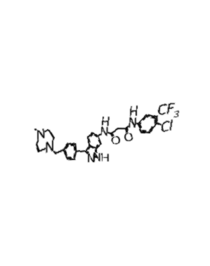 CN1CCN(Cc2ccc(-c3n[nH]c4cc(NC(=O)CC(=O)Nc5ccc(Cl)c(C(F)(F)F)c5)ccc34)cc2)CC1